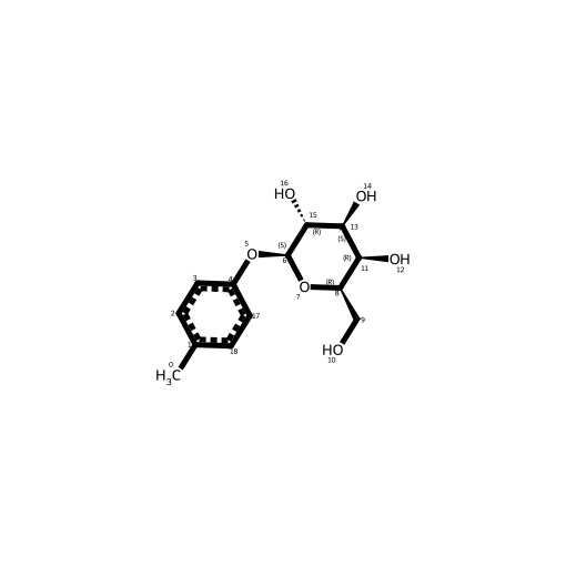 Cc1ccc(O[C@@H]2O[C@H](CO)[C@H](O)[C@H](O)[C@H]2O)cc1